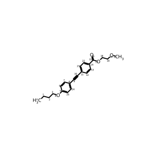 CCCCOc1ccc(C#Cc2ccc(C(=O)OCCOC)cc2)cc1